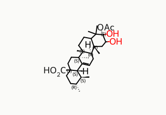 CC(=O)O[C@]1(O)C(O)C[C@@]2(C)C(CC[C@]3(C)[C@@H]2CC=C2[C@@H]4[C@@H](C)[C@H](C)CC[C@]4(C(=O)O)CC[C@]23C)C1(C)C